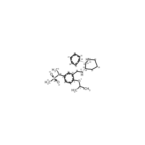 CC(C)Oc1ccc(N(C)S(C)(=O)=O)cc1CN[C@H]1CCCN[C@H]1c1ccccc1